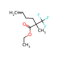 C=CCCC(C)(C(=O)OCC)C(F)(F)F